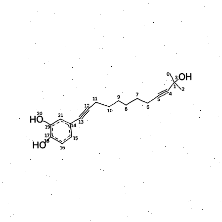 CC(C)(O)C#CCCCCCCC#Cc1ccc(O)c(O)c1